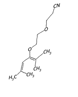 CC(C)=CC(OCCOCCC#N)=C(C)C